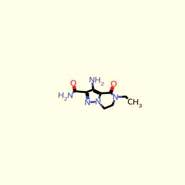 CCN1CCn2nc(C(N)=O)c(N)c2C1=O